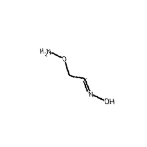 NOC[C]=NO